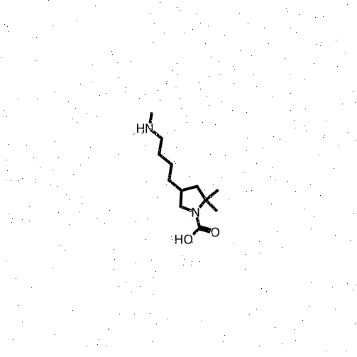 CNCCCCC1CN(C(=O)O)C(C)(C)C1